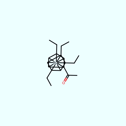 CC[C]12[CH]3[CH]4[C]5(C(C)=O)[CH]1[Ru]34251678[CH]2[C]1(CC)[CH]6[C]7(CC)[C]28CC